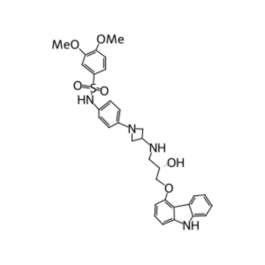 COc1ccc(S(=O)(=O)Nc2ccc(N3CC(NC[C@H](O)COc4cccc5[nH]c6ccccc6c45)C3)cc2)cc1OC